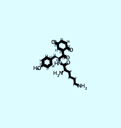 NCCCC[C@H](N)C(=O)N[C@@H](Cc1ccc(O)cc1)C(=O)C1=CC(=O)C=CC1=O